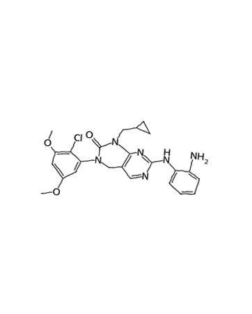 COc1cc(OC)c(Cl)c(N2Cc3cnc(Nc4ccccc4N)nc3N(CC3CC3)C2=O)c1